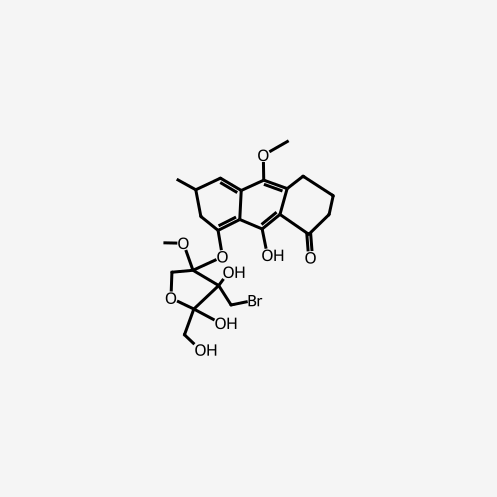 COc1c2c(c(O)c3c1=CC(C)CC=3OC1(OC)COC(O)(CO)C1(O)CBr)C(=O)CCC2